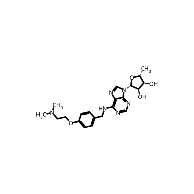 C[C@H]1O[C@@H](n2cnc3c(NCc4ccc(OCCN(C)C)cc4)ncnc32)[C@H](O)[C@@H]1O